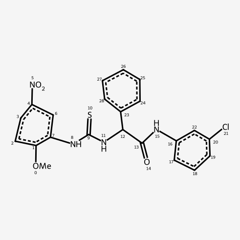 COc1ccc([N+](=O)[O-])cc1NC(=S)NC(C(=O)Nc1cccc(Cl)c1)c1ccccc1